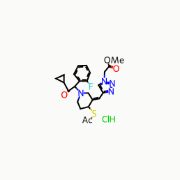 COC(=O)Cn1cc(/C=C2\CN(C(C(=O)C3CC3)c3ccccc3F)CCC2SC(C)=O)nn1.Cl